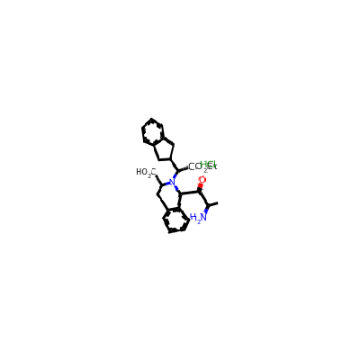 CCOC(=O)C(C1Cc2ccccc2C1)N1C(C(=O)O)Cc2ccccc2C1C(=O)C(C)N.Cl